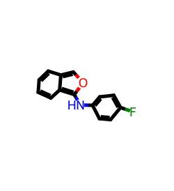 Fc1ccc(Nc2occ3ccccc23)cc1